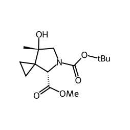 COC(=O)[C@H]1N(C(=O)OC(C)(C)C)C[C@@](C)(O)C12CC2